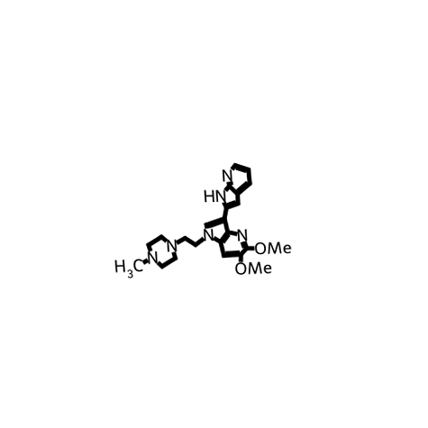 COc1cc2c(nc1OC)c(-c1cc3cccnc3[nH]1)cn2CCN1CCN(C)CC1